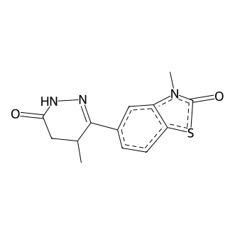 CC1CC(=O)NN=C1c1ccc2sc(=O)n(C)c2c1